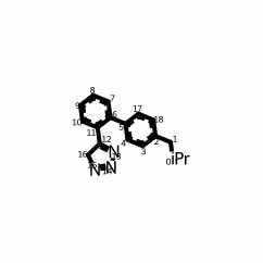 CC(C)Cc1ccc(-c2ccccc2C2=NN=NC2)cc1